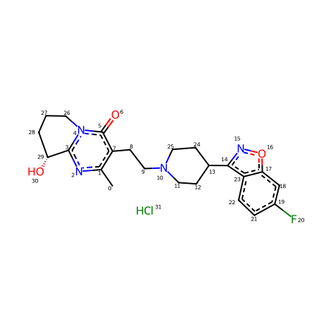 Cc1nc2n(c(=O)c1CCN1CCC(c3noc4cc(F)ccc34)CC1)CCC[C@H]2O.Cl